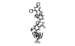 N#Cc1c(Cl)cc(Cl)cc1CN1CCC(COc2cc(F)c(C(=O)NS(=O)(=O)C3CC3)cc2C2CC2)CC1